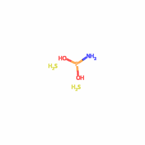 NP(O)O.S.S